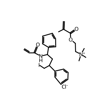 C=C(C)C(=O)OCC[N+](C)(C)C.C=CC(=O)NC(CC(CI)c1ccccc1)c1ccccc1.[Cl-]